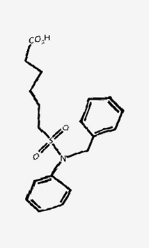 O=C(O)CCCCCS(=O)(=O)N(Cc1ccccc1)c1ccccc1